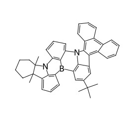 CC(C)(C)c1cc2c3c(c1)c1c4ccccc4c4ccccc4c1n3-c1cccc3c1B2c1cccc2c1N3C1(C)CCCCC21C